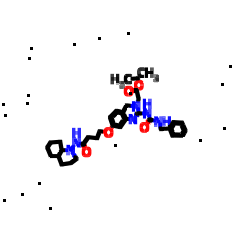 CC(C)OC(=O)CN1Cc2ccc(OCCCC(=O)NN3CCCC4CCCCC43)cc2N=C1NC(=O)NCc1ccccc1